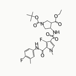 CCOC(=O)C1CN(C(=O)OC(C)(C)C)CC1NS(=O)(=O)c1cn(C)c(C(=O)Nc2ccc(F)c(C)c2)c1F